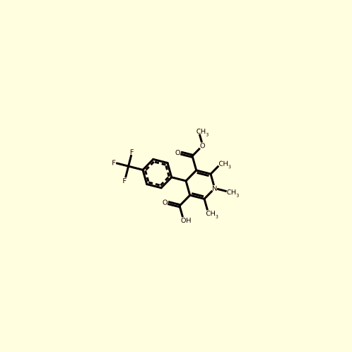 COC(=O)C1=C(C)N(C)C(C)=C(C(=O)O)C1c1ccc(C(F)(F)F)cc1